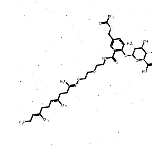 BC(=O)OCc1ccc(O[C@@H]2O[C@H](C(=O)O)[C@@H](O)[C@H](O)[C@H]2O)c(C(=O)NCCOCCO/N=C(\C)CC/C(C)=C/CC/C(C)=C/CC)c1